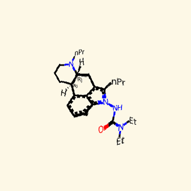 CCCc1c2c3c(cccc3n1NC(=O)N(CC)CC)[C@H]1CCCN(CCC)[C@@H]1C2